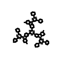 Cc1ccc2c(c1)c1cc(-c3nc(-c4ccc5c(c4)c4cc(C)ccc4n5-c4cc(-c5ccccc5)nc(-c5ccccc5)n4)nc(-c4ccc5c(c4)c4cc(C)ccc4n5-c4cc(-c5ccccc5)nc(-c5ccccc5)n4)n3)ccc1n2-c1cc(-c2ccccc2)nc(-c2ccccc2)n1